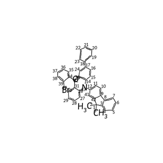 CC1(C)c2ccccc2-c2ccc(N(c3ccc(-c4ccccc4)cc3)c3ccccc3C(=O)c3ccccc3Br)cc21